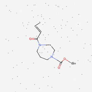 CC=CC(=O)N1CCCN(C(=O)OC(C)(C)C)CC1